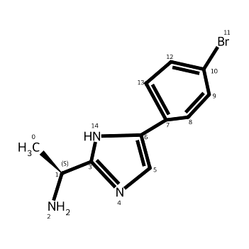 C[C@H](N)c1ncc(-c2ccc(Br)cc2)[nH]1